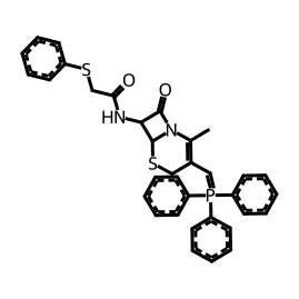 CC1=C(C=P(c2ccccc2)(c2ccccc2)c2ccccc2)CSC2C(NC(=O)CSc3ccccc3)C(=O)N12